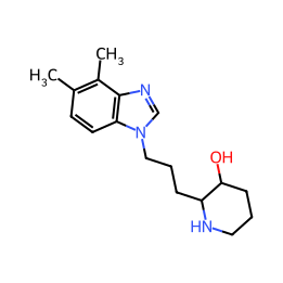 Cc1ccc2c(ncn2CCCC2NCCCC2O)c1C